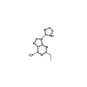 CCc1nc(N)c2ncn(-c3ncc[nH]3)c2n1